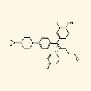 CC1=C(O)CCC(/C(=C(\CCCO)[C@H]2C=C[C@H](C)CC2)c2ccc(C3CCN(C4CC4)CC3)cc2)=C1